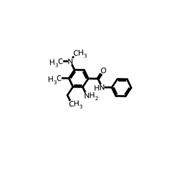 CCc1c(C)c(N(C)C)cc(C(=O)Nc2ccccc2)c1N